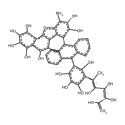 Bc1c(O)c(O)c(-c2c3ccccc3c(-c3c(O)c(O)c(O)c(/C(C)=C(O)/C(O)=C(/O)C(=C)O)c3O)c3ccccc23)c2c1oc1c3c(O)c(O)c(O)c(O)c3c(O)c(B)c12